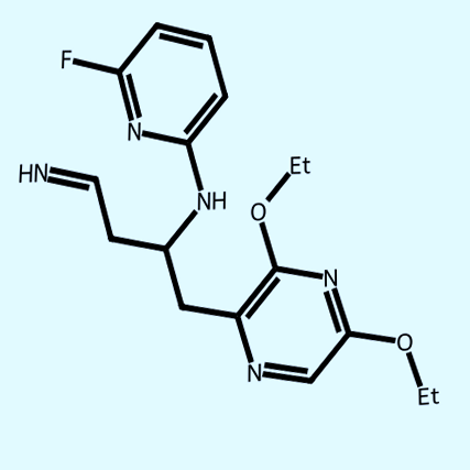 CCOc1cnc(CC(CC=N)Nc2cccc(F)n2)c(OCC)n1